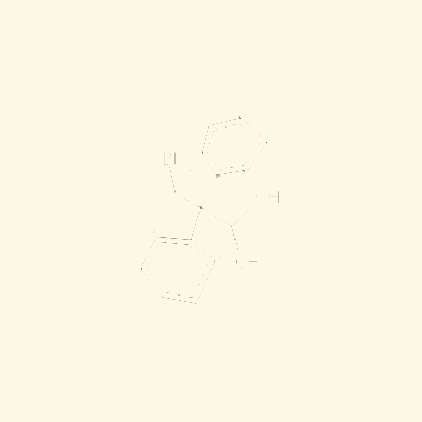 BCC(c1ccccc1)(c1ccccc1)C(C)C